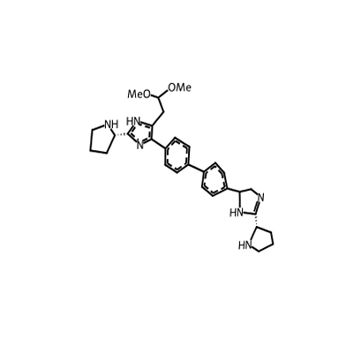 COC(Cc1[nH]c([C@@H]2CCCN2)nc1-c1ccc(-c2ccc(C3CN=C([C@@H]4CCCN4)N3)cc2)cc1)OC